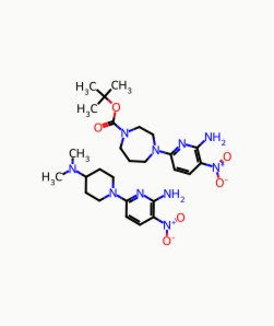 CC(C)(C)OC(=O)N1CCCN(c2ccc([N+](=O)[O-])c(N)n2)CC1.CN(C)C1CCN(c2ccc([N+](=O)[O-])c(N)n2)CC1